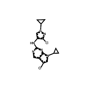 Clc1nn(C2CC2)cc1Nc1ncc2c(Cl)cn(C3CC3)c2n1